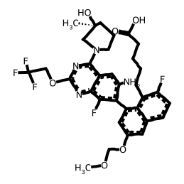 COCOc1cc(-c2c(N)cc3c(N4CCC[C@](C)(O)C4)nc(OCC(F)(F)F)nc3c2F)c2c(CCCCC(=O)O)c(F)ccc2c1